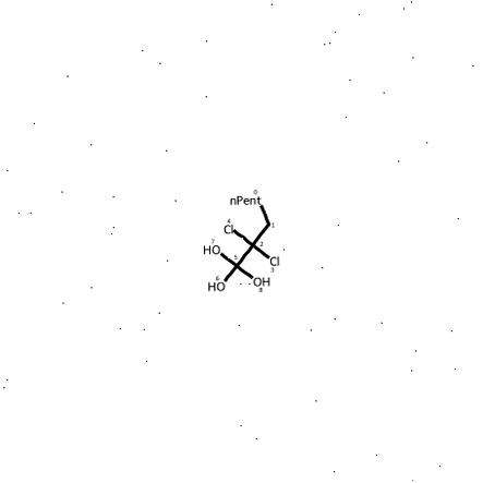 CCCCCCC(Cl)(Cl)C(O)(O)O